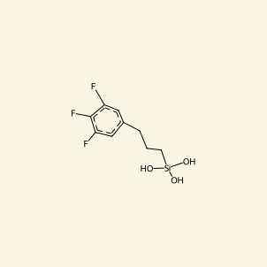 O[Si](O)(O)CCCc1cc(F)c(F)c(F)c1